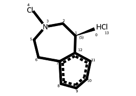 C[C@@H]1CN(Cl)CCc2ccccc21.Cl